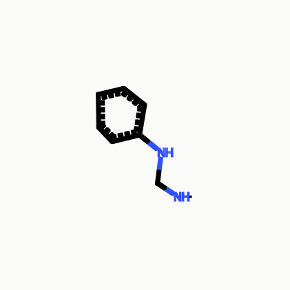 [NH]CNc1ccccc1